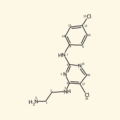 NCCNc1nc(Nc2ccc(Cl)cc2)ncc1Cl